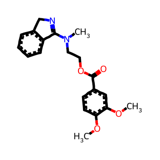 COc1ccc(C(=O)OCCN(C)C2=NCc3ccccc32)cc1OC